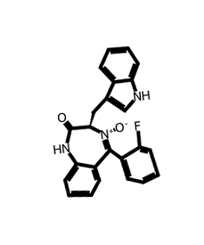 O=C1Nc2ccccc2C(c2ccccc2F)=[N+]([O-])[C@@H]1Cc1c[nH]c2ccccc12